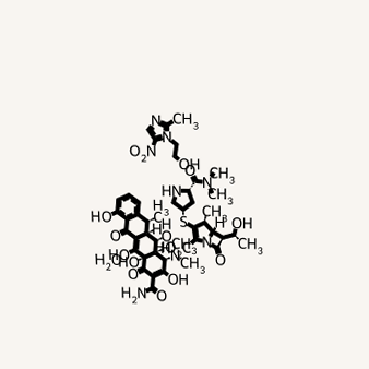 C[C@@H](O)[C@H]1C(=O)N2C(C(=O)O)=C(S[C@@H]3CN[C@H](C(=O)N(C)C)C3)[C@H](C)[C@H]12.C[C@H]1c2cccc(O)c2C(=O)C2=C(O)[C@]3(O)C(=O)C(C(N)=O)=C(O)[C@@H](N(C)C)[C@@H]3[C@@H](O)[C@@H]21.Cc1ncc([N+](=O)[O-])n1CCO.O